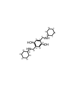 Oc1cc(CNC2CCCCC2)c(O)cc1CNC1CCCCC1